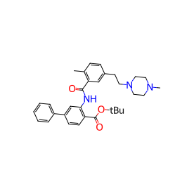 Cc1ccc(CCN2CCN(C)CC2)cc1C(=O)Nc1cc(-c2ccccc2)ccc1C(=O)OC(C)(C)C